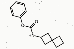 O=C(NC1CC2(CCC2)C1)Oc1ccccc1